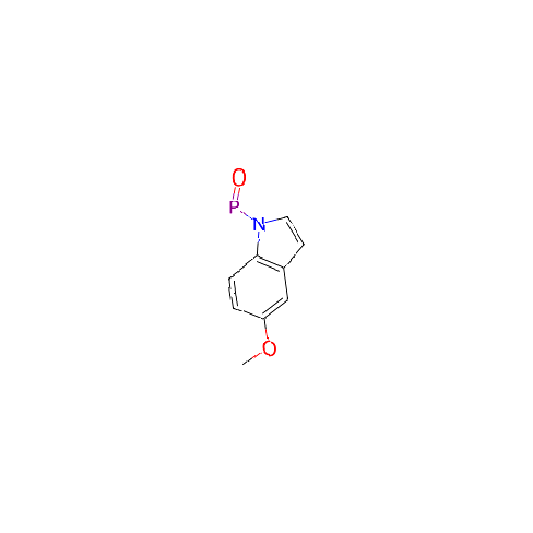 COc1ccc2c(ccn2P=O)c1